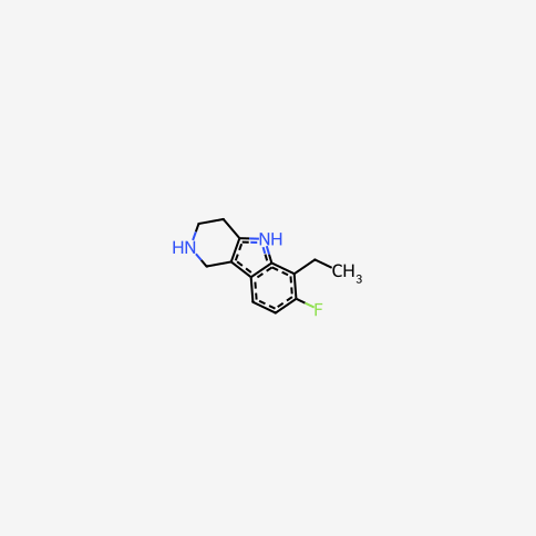 CCc1c(F)ccc2c3c([nH]c12)CCNC3